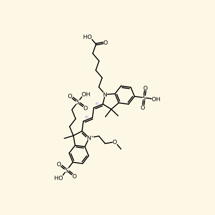 COCC[N+]1=C(/C=C/C=C2/N(CCCCCC(=O)O)c3ccc(S(=O)(=O)O)cc3C2(C)C)C(C)(CCCS(=O)(=O)O)c2cc(S(=O)(=O)O)ccc21